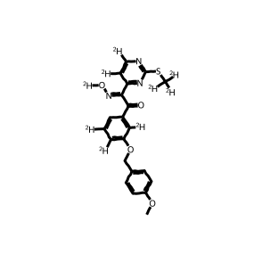 [2H]ON=C(C(=O)c1cc([2H])c([2H])c(OCc2ccc(OC)cc2)c1[2H])c1nc(SC([2H])([2H])[2H])nc([2H])c1[2H]